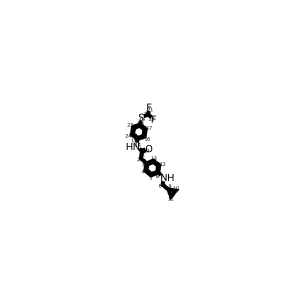 O=C(Cc1ccc(NCC2CC2)cc1)Nc1ccc(SC(F)F)cc1